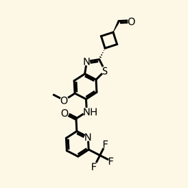 COc1cc2nc([C@H]3C[C@H](C=O)C3)sc2cc1NC(=O)c1cccc(C(F)(F)F)n1